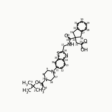 CC(C)(C)OC(=O)N1CCN(c2ccc3nc(CNC(=O)C4(CC(=O)O)Cc5ccccc5C4)sc3c2)CC1